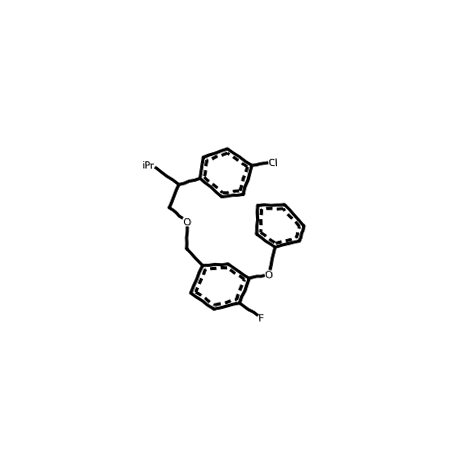 CC(C)C(COCc1ccc(F)c(Oc2ccccc2)c1)c1ccc(Cl)cc1